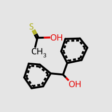 CC(O)=S.OC(c1ccccc1)c1ccccc1